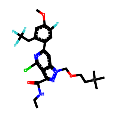 CCNC(=O)c1nn(COCC[Si](C)(C)C)c2cc(-c3cc(F)c(OC)cc3CC(F)(F)F)nc(Cl)c12